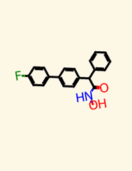 O=C(NO)C(c1ccccc1)c1ccc(-c2ccc(F)cc2)cc1